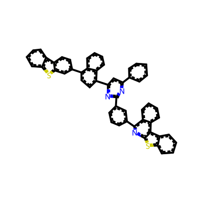 c1ccc(-c2cc(-c3ccc(-c4ccc5c(c4)sc4ccccc45)c4ccccc34)nc(-c3cccc(-c4nc5sc6ccccc6c5c5ccccc45)c3)n2)cc1